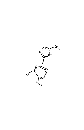 Cc1cc(-c2ncc(C(F)(F)F)o2)ccc1[N+](=O)[O-]